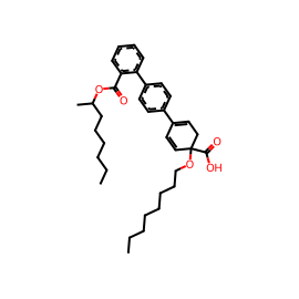 CCCCCCCCOC1(C(=O)O)C=CC(c2ccc(-c3ccccc3C(=O)OC(C)CCCCCC)cc2)=CC1